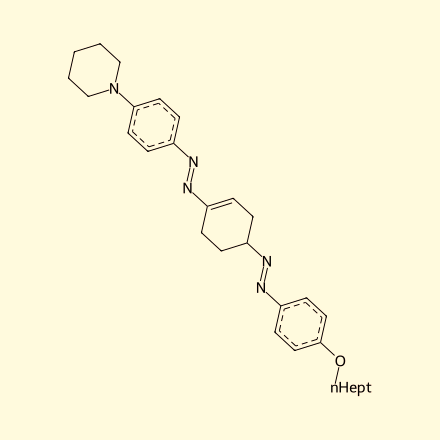 CCCCCCCOc1ccc(/N=N/C2CC=C(/N=N/c3ccc(N4CCCCC4)cc3)CC2)cc1